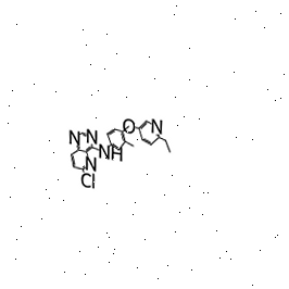 CCc1ccc(Oc2ccc(Nc3ncnc4ccc(Cl)nc34)cc2C)cn1